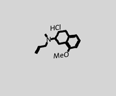 C=CCN(C)C1CCc2cccc(OC)c2C1.Cl